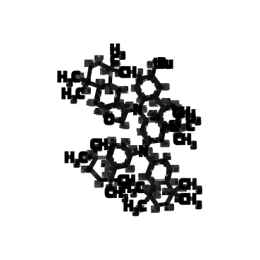 CC(C)(C)c1ccc(N(c2cc(N(c3ccc4c(c3)C(C)(C)CCC4(C)C)c3ccc4c(c3)C(C)(C)CCC4(C)C)cc([Si](C)(C)C)c2)c2coc3cc4c(cc23)C(C)(C)CCC4(C)C)c(-c2ccccc2)c1